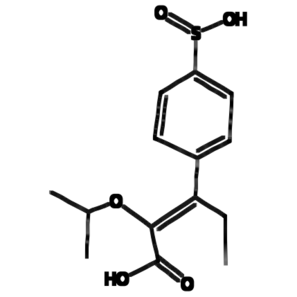 CC/C(=C(/OC(C)C)C(=O)O)c1ccc(S(=O)O)cc1